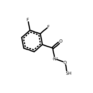 O=C([N+]OS)c1cccc(F)c1F